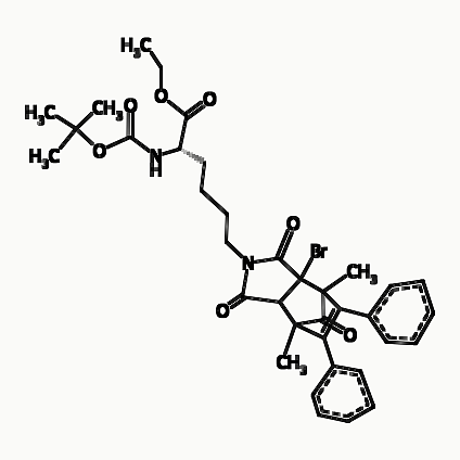 CCOC(=O)[C@H](CCCCN1C(=O)C2C3(C)C(=O)C(C)(C(c4ccccc4)=C3c3ccccc3)C2(Br)C1=O)NC(=O)OC(C)(C)C